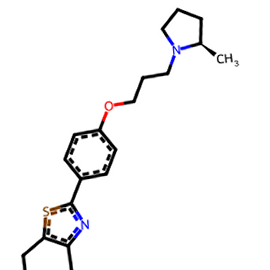 C[C@@H]1CCCN1CCCOc1ccc(-c2nc3c(s2)CCCC3)cc1